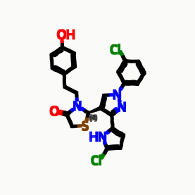 O=C1CS[C@H](c2cn(-c3cccc(Cl)c3)nc2-c2ccc(Cl)[nH]2)N1CCc1ccc(O)cc1